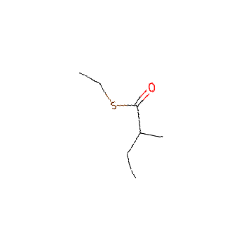 CCSC(=O)C(C)CC